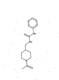 CC(=O)N1CCC(CNC(=S)Nc2ccccc2)CC1